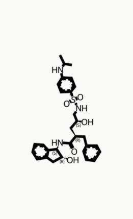 CC(C)Nc1ccc(S(=O)(=O)NC[C@@H](O)C[C@@H](Cc2ccccc2)C(=O)N[C@H]2c3ccccc3C[C@H]2O)cc1